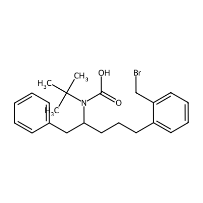 CC(C)(C)N(C(=O)O)C(CCCc1ccccc1CBr)Cc1ccccc1